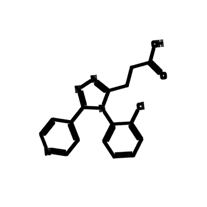 O=C(O)CCc1nnc(-c2ccncc2)n1-c1ccccc1Cl